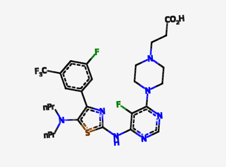 CCCN(CCC)c1sc(Nc2ncnc(N3CCN(CCC(=O)O)CC3)c2F)nc1-c1cc(F)cc(C(F)(F)F)c1